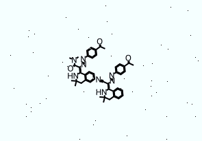 CC(=O)c1ccc(N=NC(C#N)=C2NC(C)(C)Cc3ccccc32)cc1.CC(=O)c1ccc(N=NC(C(=O)N(C)C)=C2NC(C)(C)Cc3ccccc32)cc1